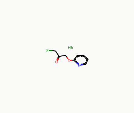 Br.O=C(CBr)COc1ccccn1